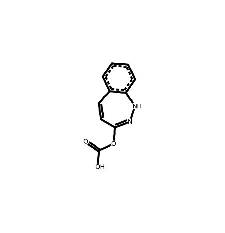 O=C(O)OC1=NNc2ccccc2C=C1